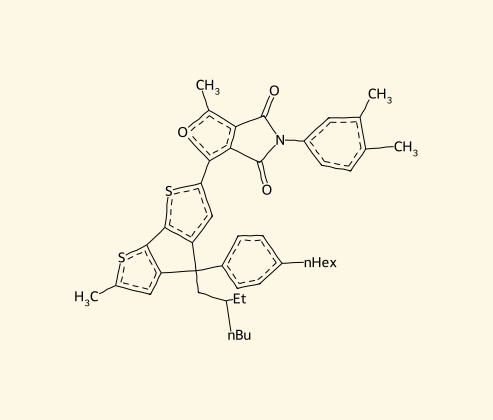 CCCCCCc1ccc(C2(CC(CC)CCCC)c3cc(C)sc3-c3sc(-c4oc(C)c5c4C(=O)N(c4ccc(C)c(C)c4)C5=O)cc32)cc1